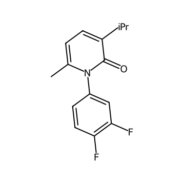 Cc1ccc(C(C)C)c(=O)n1-c1ccc(F)c(F)c1